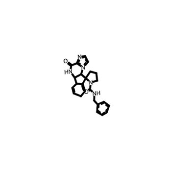 O=C1NC2C3C=CCC=C3C3(CCCN3C(=O)NCc3ccccc3)C2n2ccnc21